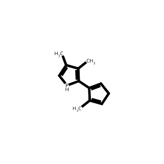 CC1=CC[C]=C1c1[pH]cc(C)c1C